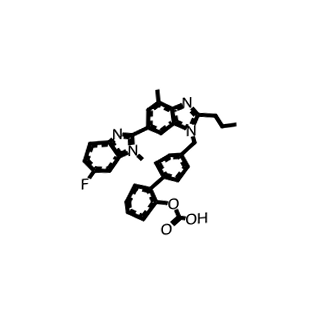 CCCc1nc2c(C)cc(-c3nc4ccc(F)cc4n3C)cc2n1Cc1ccc(-c2ccccc2OC(=O)O)cc1